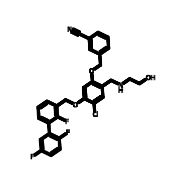 N#Cc1cccc(COc2cc(OCc3cccc(-c4cc(F)ccc4F)c3F)c(Cl)cc2CNCCO)c1